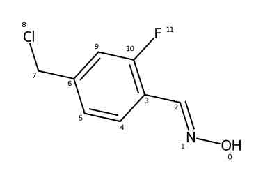 ON=Cc1ccc(CCl)cc1F